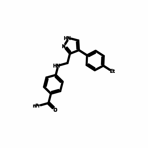 CCCC(=O)c1ccc(NCc2n[nH]cc2-c2ccc(CC)cc2)cc1